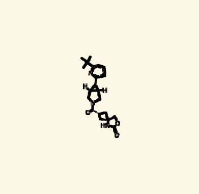 CC(C)(C)c1cccc([C@H]2[C@@H]3CN(C(=O)[C@H]4C[C@]5(COC(=O)N5)C4)C[C@@H]32)n1